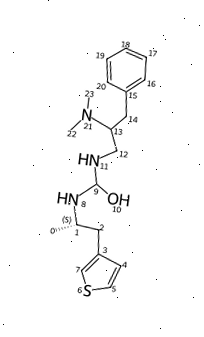 C[C@@H](Cc1ccsc1)NC(O)NCC(Cc1ccccc1)N(C)C